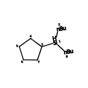 CCCC[SiH](CCCC)C1CCCC1